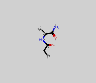 CC(C)CC(=O)N[C@@H](C)C(N)=O